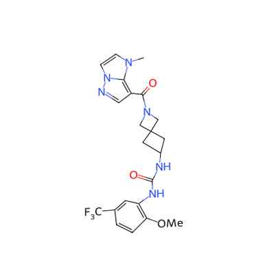 COc1ccc(C(F)(F)F)cc1NC(=O)NC1CC2(C1)CN(C(=O)c1cnn3ccn(C)c13)C2